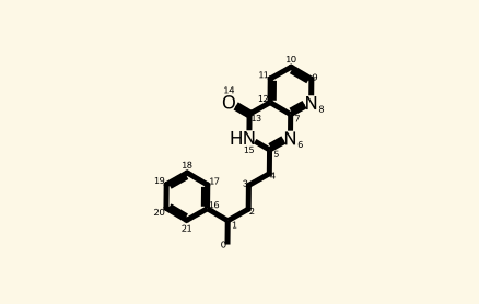 CC(CCCc1nc2ncccc2c(=O)[nH]1)c1ccccc1